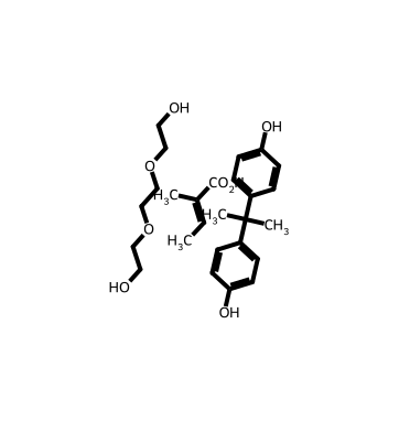 CC(C)(c1ccc(O)cc1)c1ccc(O)cc1.CC=C(C)C(=O)O.OCCOCCOCCO